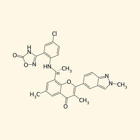 Cc1cc([C@@H](C)Nc2ccc(Cl)cc2-c2noc(=O)[nH]2)c2oc(-c3ccc4nn(C)cc4c3)c(C)c(=O)c2c1